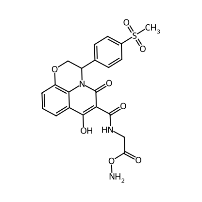 CS(=O)(=O)c1ccc(C2COc3cccc4c(O)c(C(=O)NCC(=O)ON)c(=O)n2c34)cc1